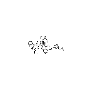 Cc1nn2cccnc2c1C(=O)NC(C)c1nc2cccc(C#Cc3cnn(C)c3)c2c(=O)n1-c1ccc(F)c(F)c1